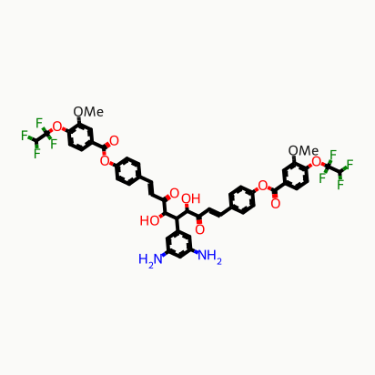 COc1cc(C(=O)Oc2ccc(/C=C/C(=O)C(O)C(c3cc(N)cc(N)c3)C(O)C(=O)/C=C/c3ccc(OC(=O)c4ccc(OC(F)(F)C(F)F)c(OC)c4)cc3)cc2)ccc1OC(F)(F)C(F)F